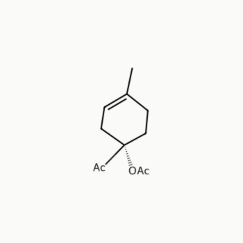 CC(=O)O[C@]1(C(C)=O)CC=C(C)CC1